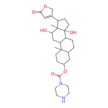 CC12CCC(OC(=O)N3CCNCC3)CC1CCC1C2CC(O)C2(C)C(C3=CC(=O)OC3)CCC12O